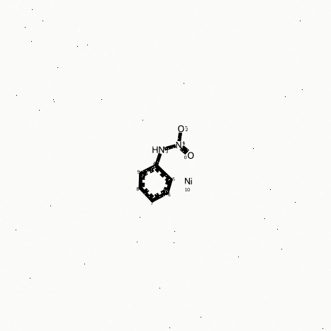 O=[N+]([O-])Nc1ccccc1.[Ni]